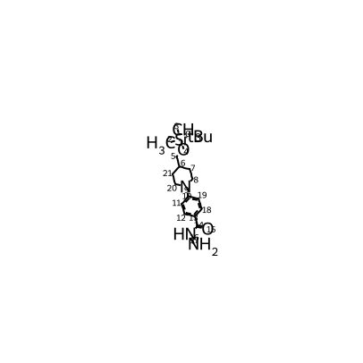 CC(C)(C)[Si](C)(C)OCC1CCN(c2ccc(C(=O)NN)cc2)CC1